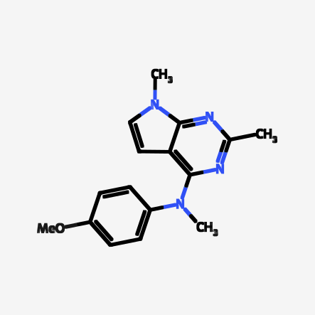 COc1ccc(N(C)c2nc(C)nc3c2ccn3C)cc1